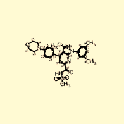 Cc1cc(C)cc(-n2nc(C)c3c(-c4ccc(N5CCOCC5)cc4)cc(C(=O)NS(C)(=O)=O)nc32)c1